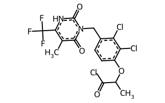 Cc1c(C(F)(F)F)[nH]c(=O)n(Cc2ccc(OC(C)C(=O)Cl)c(Cl)c2Cl)c1=O